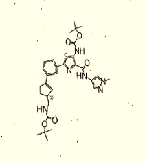 Cn1cc(NC(=O)c2nc(-c3cccc(C4=C[C@@H](CNC(=O)OC(C)(C)C)CC4)c3)sc2NC(=O)OC(C)(C)C)cn1